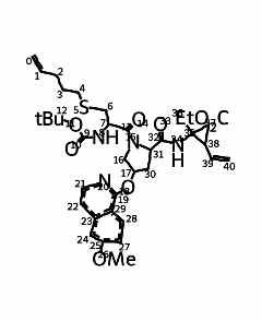 C=CCCCSCC(NC(=O)OC(C)(C)C)C(=O)N1CC(Oc2nccc3cc(OC)ccc23)CC1C(=O)NC1(C(=O)OCC)CC1C=C